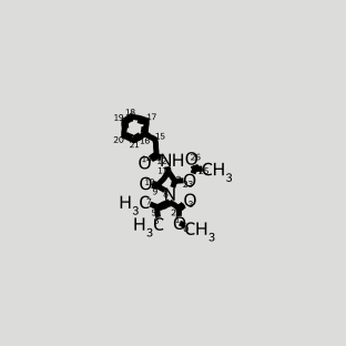 COC(=O)C(=C(C)C)N1C(=O)C(NC(=O)Cc2ccccc2)C1OC(C)=O